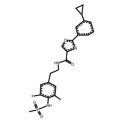 CS(=O)(=O)Nc1c(F)cc(CCNC(=O)c2coc(-c3cccc(C4CC4)c3)n2)cc1F